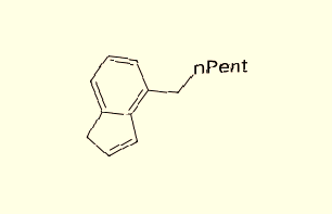 CCCCCCc1cccc2c1C=CC2